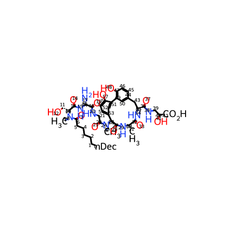 CCCCCCCCCCCCCCCC(=O)N(C)[C@H](CO)C(=O)N[C@H](N)C(=O)NCC(=O)N(C)[C@@H]1C(=O)N[C@@H](C)C(=O)N[C@H](C(=O)NCC(O)C(=O)O)Cc2ccc(O)c(c2)-c2cc1ccc2O